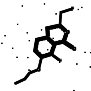 CCCOc1ccc2cc(CF)oc(=O)c2c1F